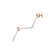 CS[CH]S